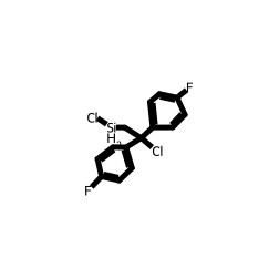 Fc1ccc(C(Cl)(C[SiH2]Cl)c2ccc(F)cc2)cc1